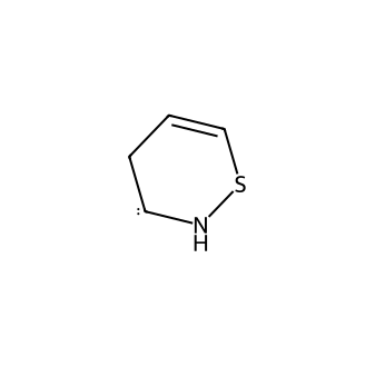 [C]1CC=CSN1